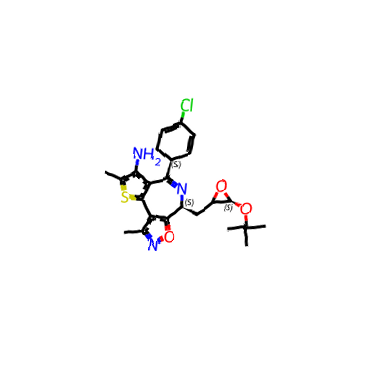 Cc1noc2c1-c1sc(C)c(N)c1C([C@@H]1C=CC(Cl)=CC1)=N[C@H]2CC1O[C@H]1OC(C)(C)C